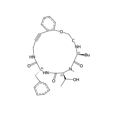 CCC(C)[C@@H]1NCCOc2ccccc2C#CCNC(=O)[C@@H](Cc2ccccc2)NC(=O)[C@H](C(C)O)N(C)C1=O